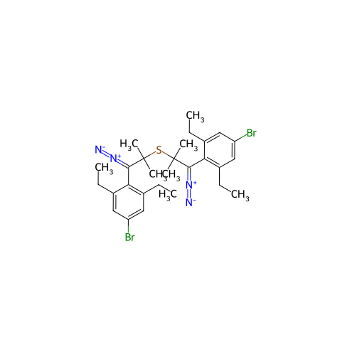 CCc1cc(Br)cc(CC)c1C(=[N+]=[N-])C(C)(C)SC(C)(C)C(=[N+]=[N-])c1c(CC)cc(Br)cc1CC